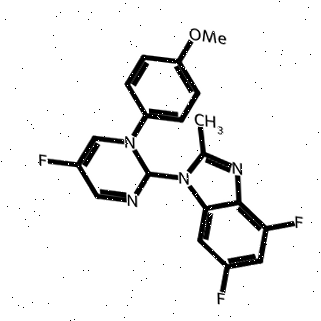 COc1ccc(N2C=C(F)C=NC2n2c(C)nc3c(F)cc(F)cc32)cc1